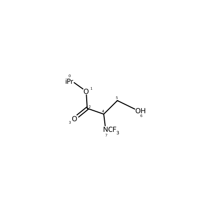 CC(C)OC(=O)C(CO)NC(F)(F)F